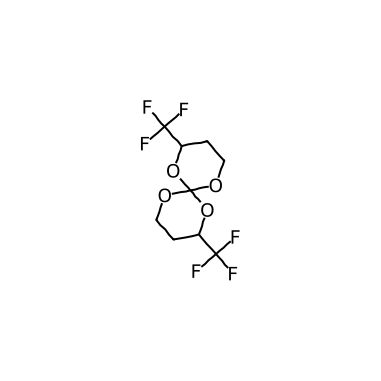 FC(F)(F)C1CCOC2(OCCC(C(F)(F)F)O2)O1